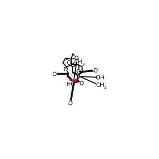 CC1CCCOC(=O)/C=C\C=C/C(=O)OC2CC3OC4C=C(C(=O)O)CCC4(COC(=O)C1O)C2(C)C31CO1